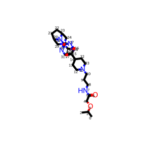 CC(C)OCC(=O)NCCCN1CCC(c2cnc(N3C4CCC3CN([C@H](C)I)C4)nc2)CC1